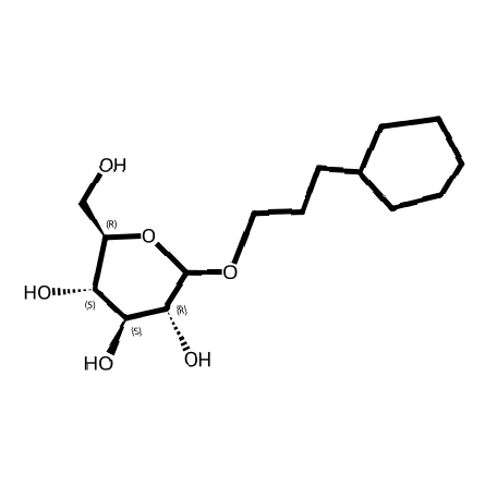 OC[C@H]1OC(OCCCC2CCCCC2)[C@H](O)[C@@H](O)[C@@H]1O